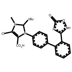 CCCCC1N(C)C(Cl)=C(C(=O)O)N1c1ccc(-c2ccccc2-c2nc(=O)o[nH]2)cc1